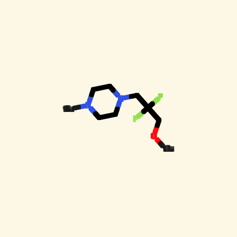 CC(C)(C)OCC(F)(F)CN1CCN(C(C)(C)C)CC1